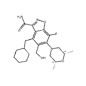 C[C@@H]1CN(c2c(CO)c(CC3CCCCC3)c3c(C(N)=O)noc3c2F)C[C@H](C)O1